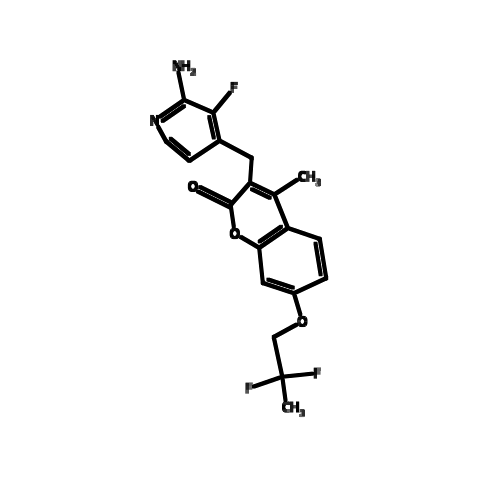 Cc1c(Cc2ccnc(N)c2F)c(=O)oc2cc(OCC(C)(F)F)ccc12